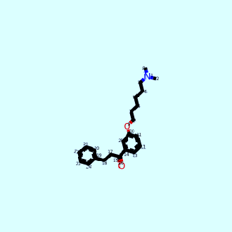 CN(C)CCCCCCOc1cccc(C(=O)CCc2ccccc2)c1